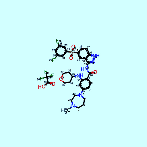 CN1CCCN(c2ccc(C(=O)Nc3n[nH]c4ccc(S(=O)(=O)c5cc(F)cc(F)c5)cc34)c(NC3CCOCC3)c2)CC1.O=C(O)C(F)(F)F